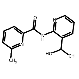 Cc1cccc(C(=O)Nc2ncccc2C(C)O)n1